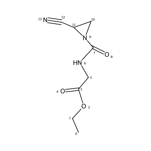 CCOC(=O)CNC(=O)N1CC1C#N